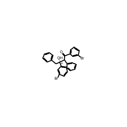 O=C(c1cccc(Br)c1)C(c1ccccc1)[C@](O)(Cc1ccccc1)c1cccc(Br)c1